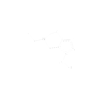 CCN1CCc2onc(OC)c2C1